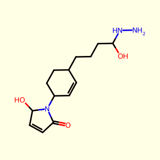 NNC(O)CCCC1C=CC(N2C(=O)C=CC2O)CC1